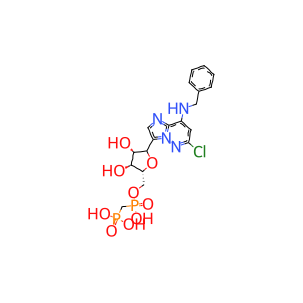 O=P(O)(O)CP(=O)(O)OC[C@H]1OC(c2cnc3c(NCc4ccccc4)cc(Cl)nn23)[C@H](O)[C@@H]1O